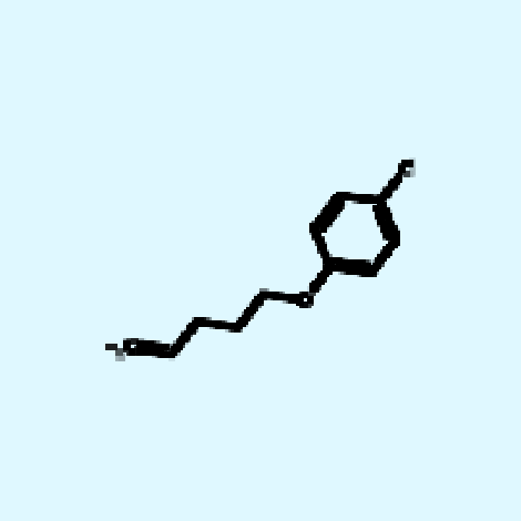 C=CCCCOc1ccc(Cl)cc1